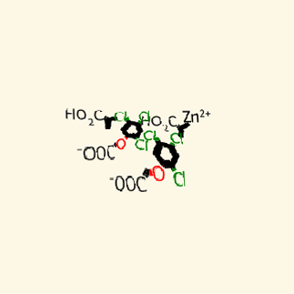 C=C(C)C(=O)O.C=C(C)C(=O)O.O=C([O-])COc1cc(Cl)c(Cl)cc1Cl.O=C([O-])COc1cc(Cl)c(Cl)cc1Cl.[Zn+2]